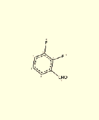 O=[C]c1cccc(F)c1F